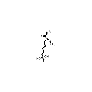 C=CC(=O)N(CCCCCP(=O)(O)O)OC